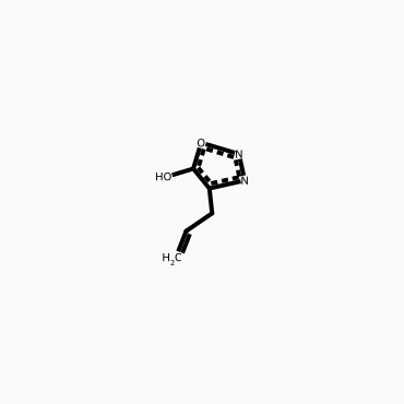 C=CCc1nnoc1O